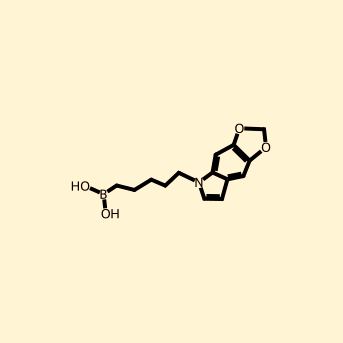 OB(O)CCCCCn1ccc2cc3c(cc21)OCO3